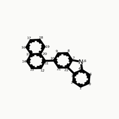 c1ccc2c(c1)[N]c1ccc(-c3cccc4ccccc34)cc1-2